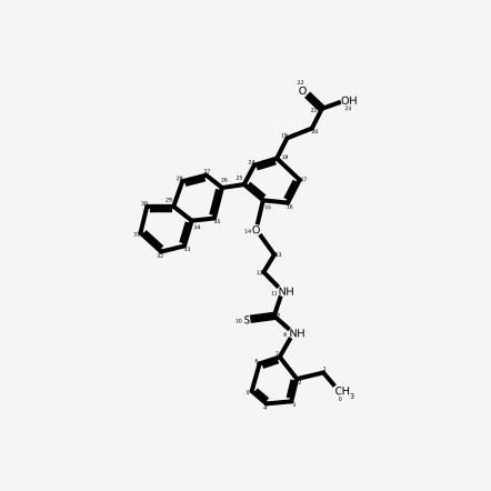 CCc1ccccc1NC(=S)NCCOc1ccc(CCC(=O)O)cc1-c1ccc2ccccc2c1